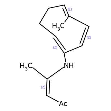 CC(=O)/C=C(/C)NC1=C\CC/C=C(C)/C=C\1